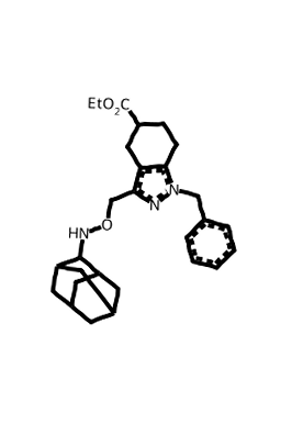 CCOC(=O)C1CCc2c(c(CONC3C4CC5CC(C4)CC3C5)nn2Cc2ccccc2)C1